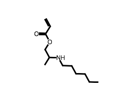 C=CC(=O)OCC(C)NCCCCCC